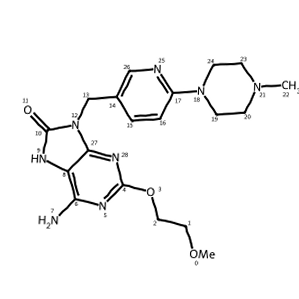 COCCOc1nc(N)c2[nH]c(=O)n(Cc3ccc(N4CCN(C)CC4)nc3)c2n1